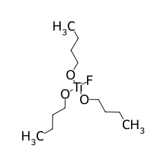 CCCC[O][Ti]([F])([O]CCCC)[O]CCCC